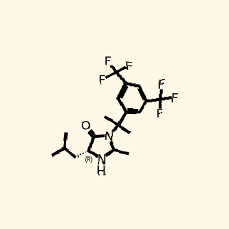 CC(C)C[C@H]1NC(C)N(C(C)(C)c2cc(C(F)(F)F)cc(C(F)(F)F)c2)C1=O